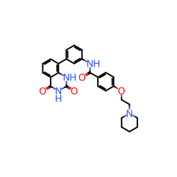 O=C(Nc1cccc(-c2cccc3c(=O)[nH]c(=O)[nH]c23)c1)c1ccc(OCCN2CCCCC2)cc1